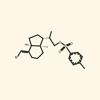 Cc1ccc(S(=O)(=O)OCC(C)[C@H]2CC[C@@H]3/C(=C/Br)CCC[C@@]32C)cc1